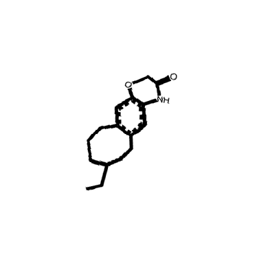 CCC1CCCc2cc3c(cc2CC1)NC(=O)CO3